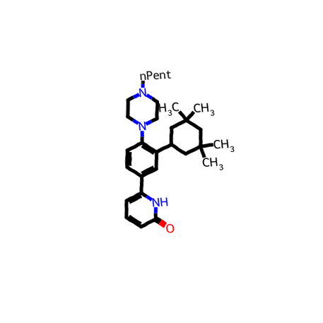 CCCCCN1CCN(c2ccc(-c3cccc(=O)[nH]3)cc2C2CC(C)(C)CC(C)(C)C2)CC1